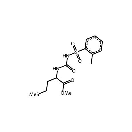 COC(=O)C(CCSC)NC(=O)NS(=O)(=O)c1ccccc1C